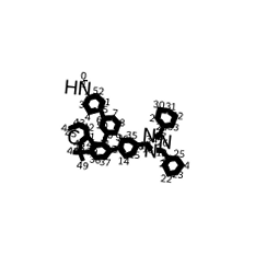 CNc1ccc(-c2cccc(-c3c(-c4ccc(-c5nc(-c6ccccc6)nc(-c6ccccc6)n5)cc4)ccc4c3-c3ccccc3C4(C)C)c2)cc1